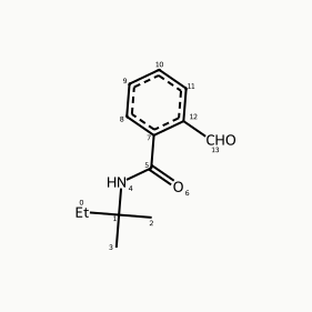 CCC(C)(C)NC(=O)c1ccccc1C=O